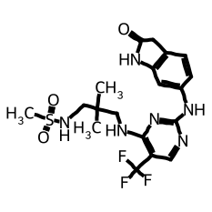 CC(C)(CNc1nc(Nc2ccc3c(c2)NC(=O)C3)ncc1C(F)(F)F)CNS(C)(=O)=O